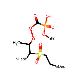 CCCCCCCCCCCCS(=O)(=O)C(CCCCCCC)C(C)OOC(=O)P(=O)(O)OCCC